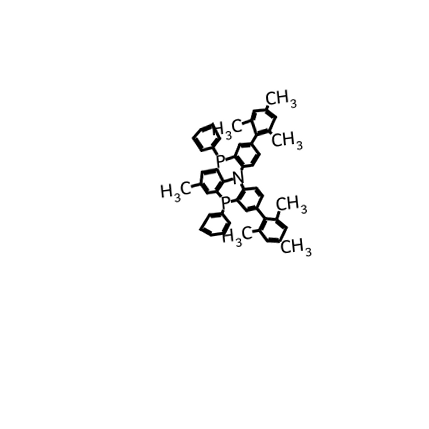 Cc1cc(C)c(-c2ccc3c(c2)P(c2ccccc2)c2cc(C)cc4c2N3c2ccc(-c3c(C)cc(C)cc3C)cc2P4c2ccccc2)c(C)c1